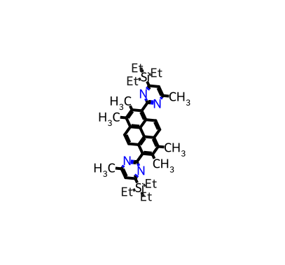 CC[Si](CC)(CC)c1cc(C)nc(-c2c(C)c(C)c3ccc4c(-c5nc(C)cc([Si](CC)(CC)CC)n5)c(C)c(C)c5ccc2c3c54)n1